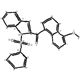 COc1cccc2c(C(=O)c3cc4ccccc4n3S(=O)(=O)c3ccccc3)cccc12